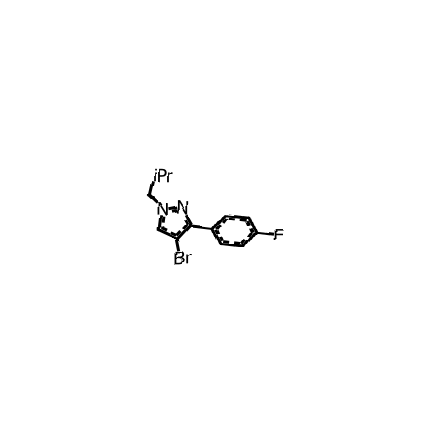 CC(C)Cn1cc(Br)c(-c2ccc(F)cc2)n1